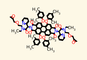 CCN(CCOCC1CO1)C(=O)C(c1ccccn1)N1C(=O)c2cc(Oc3ccc(C)cc3C)c3c4c(Oc5ccc(C)cc5C)cc5c6c(cc(Oc7ccc(C)cc7C)c(c7c(Oc8ccc(C)cc8C)cc(c2c37)C1=O)c64)C(=O)N(C(C(=O)N(CC)CCOCC1CO1)c1ccccn1)C5=O